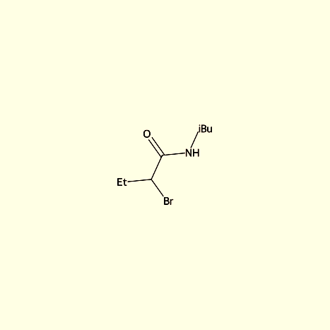 CCC(C)NC(=O)C(Br)CC